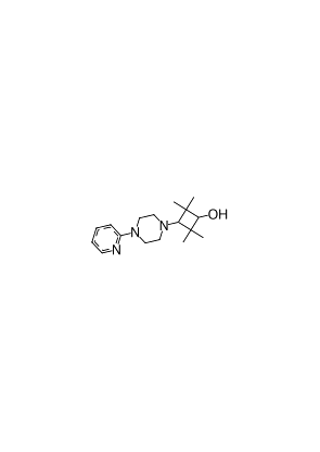 CC1(C)C(O)C(C)(C)C1N1CCN(c2ccccn2)CC1